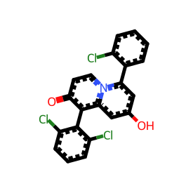 O=c1ccn2c(-c3ccccc3Cl)cc(O)cc2c1-c1c(Cl)cccc1Cl